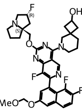 COCOc1cc(-c2ncc3c(N4CCCC5(CC(O)C5)C4)nc(OC[C@@]45CCCN4C[C@H](F)C5)nc3c2F)c2c(F)c(F)ccc2c1